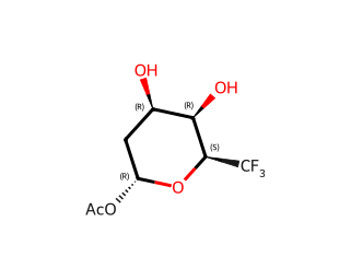 CC(=O)O[C@@H]1C[C@@H](O)[C@@H](O)[C@@H](C(F)(F)F)O1